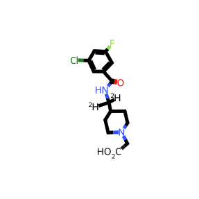 [2H]C([2H])(NC(=O)c1cc(F)cc(Cl)c1)C1CCN(CC(=O)O)CC1